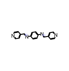 C(=N\c1ccc(/N=C/c2ccncc2)cc1)/c1ccncc1